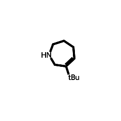 CC(C)(C)C1=CCCCNC1